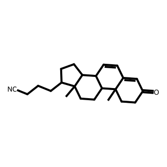 CC12CCC(=O)C=C1C=CC1C2CCC2(C)C(CCCC#N)CCC12